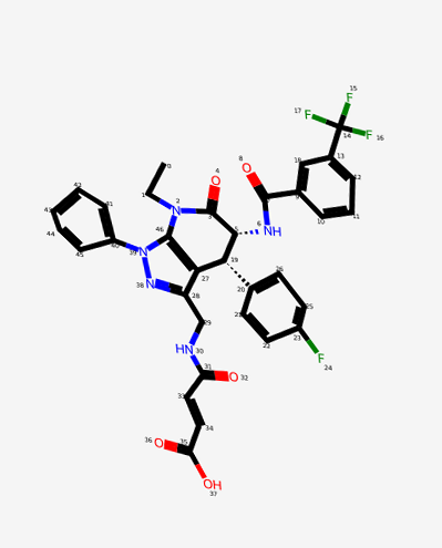 CCN1C(=O)[C@H](NC(=O)c2cccc(C(F)(F)F)c2)[C@H](c2ccc(F)cc2)c2c(CNC(=O)C=CC(=O)O)nn(-c3ccccc3)c21